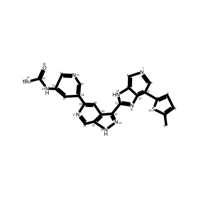 Cc1ccc(-c2cncc3[nH]c(-c4n[nH]c5cnc(-c6cncc(NC(=O)C(C)(C)C)c6)cc45)nc23)s1